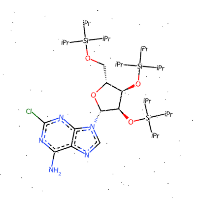 CC(C)[Si](OC[C@H]1O[C@@H](n2cnc3c(N)nc(Cl)nc32)[C@H](O[Si](C(C)C)(C(C)C)C(C)C)[C@@H]1O[Si](C(C)C)(C(C)C)C(C)C)(C(C)C)C(C)C